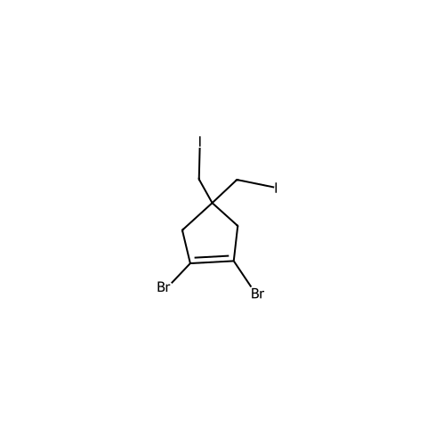 BrC1=C(Br)CC(CI)(CI)C1